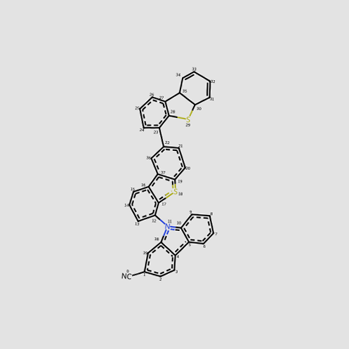 N#Cc1ccc2c3ccccc3n(-c3cccc4c3sc3ccc(-c5cccc6c5SC5C=CC=CC65)cc34)c2c1